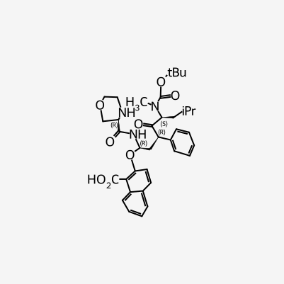 CC(C)C[C@@H](C(=O)[C@H](C[C@H](NC(=O)[C@H]1COCCN1)Oc1ccc2ccccc2c1C(=O)O)c1ccccc1)N(C)C(=O)OC(C)(C)C